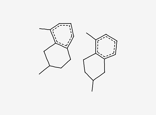 Cc1cccc2c1CC(C)CC2.Cc1cccc2c1CCC(C)C2